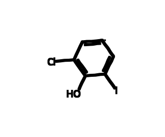 Oc1c(Cl)c[c]cc1I